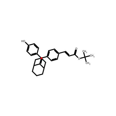 CC(C)(C)OC(=O)C=Cc1ccc(C(=C2C3CCCC2CCC3)c2ccc(O)cc2)cc1